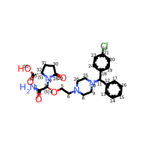 NC(=O)[C@H](OCCN1CCN(C(c2ccccc2)c2ccc(Cl)cc2)CC1)N1C(=O)CC[C@H]1C(=O)O